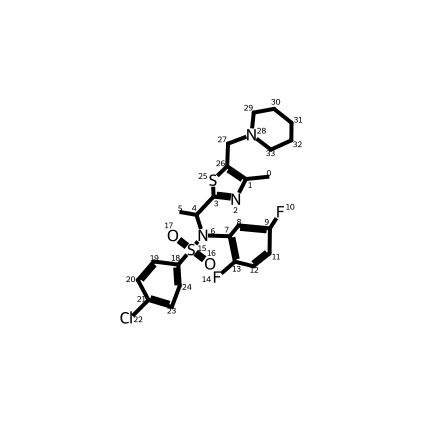 Cc1nc(C(C)N(c2cc(F)ccc2F)S(=O)(=O)c2ccc(Cl)cc2)sc1CN1CCCCC1